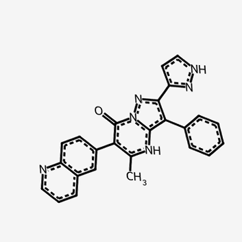 Cc1[nH]c2c(-c3ccccc3)c(-c3cc[nH]n3)nn2c(=O)c1-c1ccc2ncccc2c1